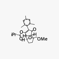 COCC12CC[C@H](O1)[C@@H]1C(OC(=O)C(C)C)=C(c3c(C)cc(C)cc3C)C(=O)[C@@H]12